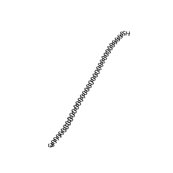 COSSSSSSSSSSSSSSSSSSSSSSSSSSSSSSSSSSSSSSSSSSSSSSSSSSSSSSSSSSSSSSSSSSS